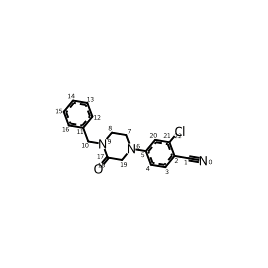 N#Cc1ccc(N2CCN(Cc3ccccc3)C(=O)C2)cc1Cl